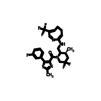 Cc1nc(C(=O)N2CC(F)(F)C[C@@H](C)C2CNC2=C/CC/C=C(C(F)(F)F)/C=N\2)c(-c2cccc(F)c2)s1